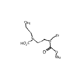 CCN(CCN(CCO)C(=O)O)C(=O)OC(C)(C)C